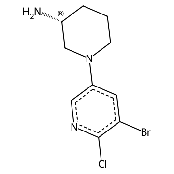 N[C@@H]1CCCN(c2cnc(Cl)c(Br)c2)C1